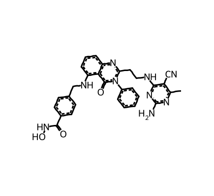 Cc1nc(N)nc(NCCc2nc3cccc(NCc4ccc(C(=O)NO)cc4)c3c(=O)n2-c2ccccc2)c1C#N